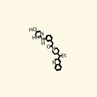 CCC(c1cnc2ccccc2c1)C1CCN(C(=O)Cc2cccc(NC3=NC=C(O)CN3)c2)CC1